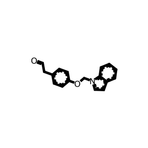 O=CCc1ccc(OCn2ccc3ccccc32)cc1